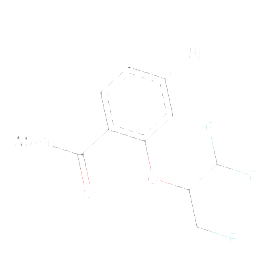 COC(=O)c1ccc(Br)cc1OC(CF)C(F)F